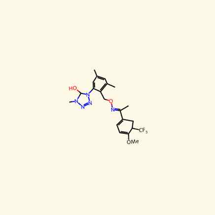 COC1=CC=C(/C(C)=N/OCc2c(C)cc(C)cc2N2N=NN(C)C2O)CC1C(F)(F)F